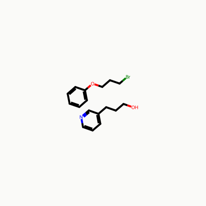 BrCCCOc1ccccc1.OCCCc1cccnc1